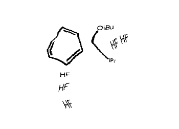 CC(C)COCC(C)C.F.F.F.F.F.c1ccccc1